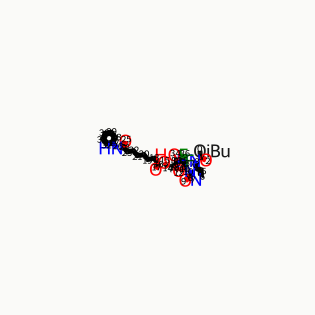 CC(C)COC(=O)Nc1ccnc(=O)n1[C@@H]1O[C@H](COC(=O)CCCCCCC(=O)Nc2ccccc2)[C@@H](O)C1(F)F